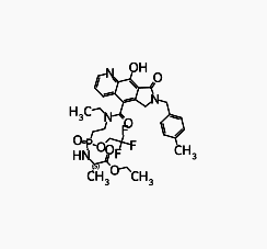 CCOC(=O)[C@H](C)NP(=O)(CCN(CC)C(=O)c1c2c(c(O)c3ncccc13)C(=O)N(Cc1ccc(C)cc1)C2)OCC(F)(F)F